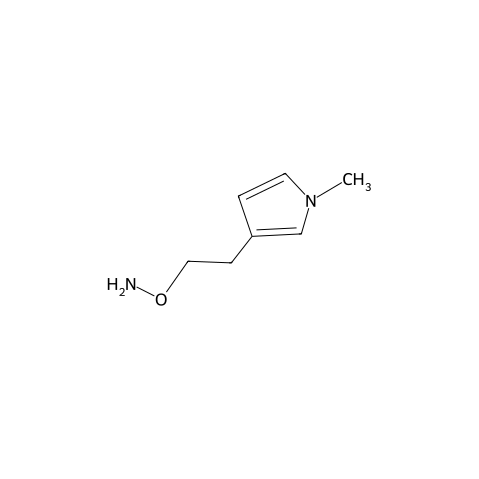 Cn1ccc(CCON)c1